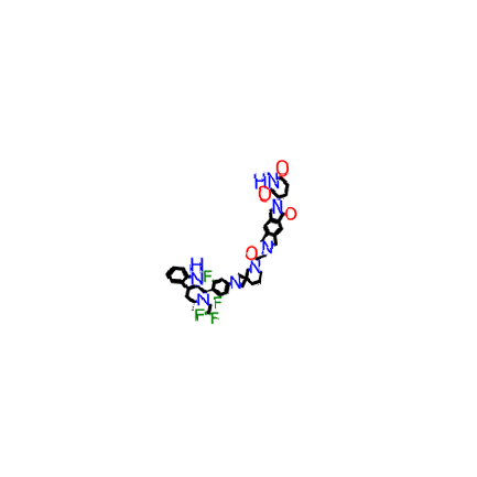 C[C@@H]1Cc2c([nH]c3ccccc23)[C@@H](c2c(F)cc(N3CC4(CCCN(C(=O)CN5Cc6cc7c(cc6C5)C(=O)N(C5CCC(=O)NC5=O)C7)C4)C3)cc2F)N1CC(F)F